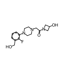 O=C(CN1CCN(c2cccc(CO)c2F)CC1)N1CC(O)C1